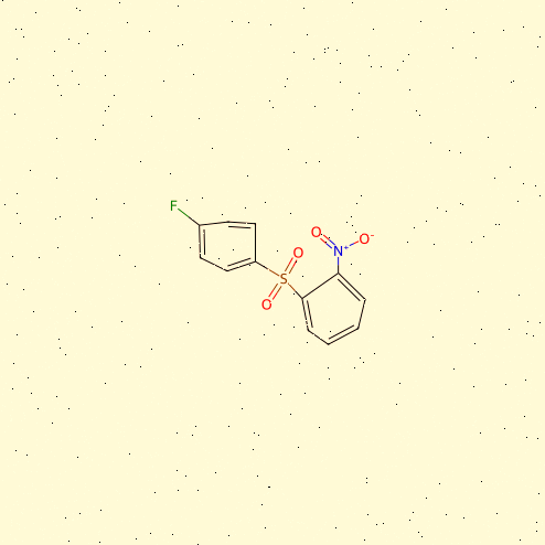 O=[N+]([O-])c1ccccc1S(=O)(=O)c1ccc(F)cc1